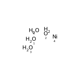 O.O.O.O.[Ni]